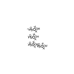 C=C(C)C(=O)Oc1cc(C(C)(C)C)c(O)c(C(C)(C)C)c1.C=C(C)C(=O)Oc1cc(C(C)(C)C)c(O)c(C(C)(C)C)c1.C=C(C)C(=O)Oc1cc(C(C)(C)C)c(O)c(C(C)(C)C)c1.C=C(CC)C(=O)Oc1cc(C(C)(C)C)c(O)c(C(C)(C)C)c1